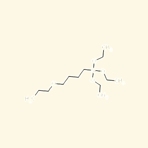 CCCOCCCC[Si](OCC)(OCC)OCC